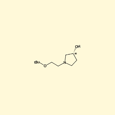 CC(C)(C)OCCN1CC[C@@H](O)C1